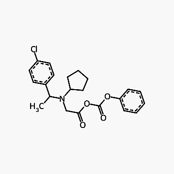 CC(c1ccc(Cl)cc1)N(CC(=O)OC(=O)Oc1ccccc1)C1CCCC1